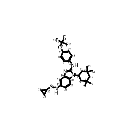 CC1(C)CC(n2c(Nc3ccc(OC(F)(F)F)cc3)nc3cc(NSC4CC4)ccc32)CC(C)(C)C1